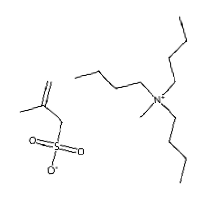 C=C(C)CS(=O)(=O)[O-].CCCC[N+](C)(CCCC)CCCC